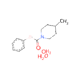 CC1CCN(C(=O)[B]c2ccccc2)CC1.O.O